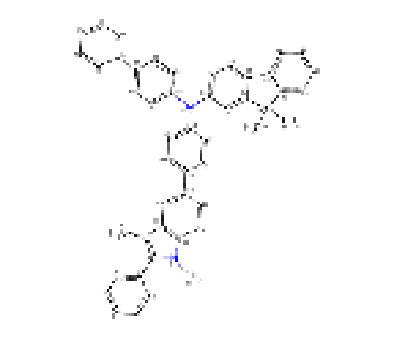 Cc1c(-c2ccccc2)n(C)c2ccc(-c3ccc(N(c4ccc(-c5ccccc5)cc4)c4ccc5c(c4)C(C)(C)c4ccccc4-5)cc3)cc12